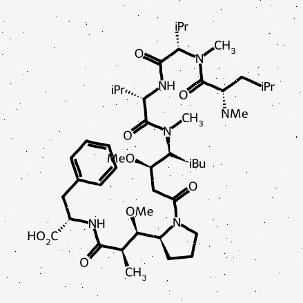 CC[C@H](C)[C@@H]([C@@H](CC(=O)N1CCC[C@H]1[C@H](OC)[C@@H](C)C(=O)N[C@@H](Cc1ccccc1)C(=O)O)OC)N(C)C(=O)[C@@H](NC(=O)[C@H](C(C)C)N(C)C(=O)[C@H](CC(C)C)NC)C(C)C